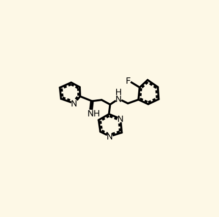 N=C(CC(NCc1ccccc1F)c1ccncn1)c1ccccn1